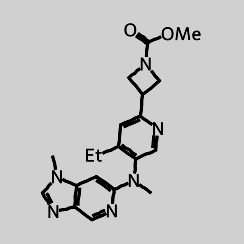 CCc1cc(C2CN(C(=O)OC)C2)ncc1N(C)c1cc2c(cn1)ncn2C